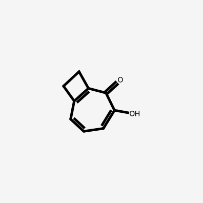 O=c1c(O)cccc2c1CC2